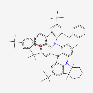 Cc1cc2c3c(c1)N1c4c(cc(C(C)(C)C)cc4C4(C)CCCCC14C)B3c1cc3c(cc1N2c1c(Cc2ccccc2)cc(C(C)(C)C)cc1-c1ccccc1)-c1ccc(C(C)(C)C)cc1C3(C)C